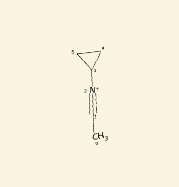 CC#[N+]C1CC1